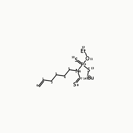 C=CCCCCN(C=S)P(=S)(OCC)SC(C)CC